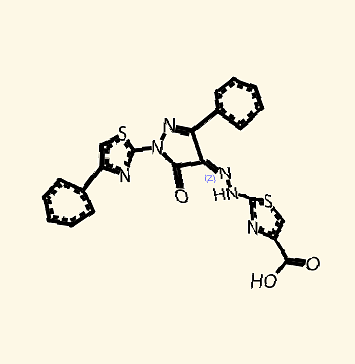 O=C(O)c1csc(N/N=C2\C(=O)N(c3nc(-c4ccccc4)cs3)N=C2c2ccccc2)n1